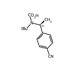 C[C@@H](c1ccc(C#N)cc1)N(C(=O)O)C(C)(C)C